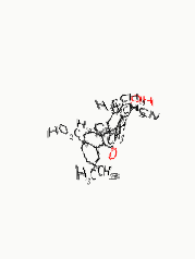 CC1(C)CC[C@]2(CC(=O)O)CC[C@]3(C)C(C(=O)C[C@@H]4[C@@]5(C)CC(C#N)=C(O)C(C)(C)[C@@H]5CC[C@]43C)C2C1